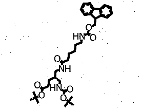 CC(C)(C)OC(=O)CCC(CNC(=O)CCCCCNC(=O)OCC1c2ccccc2-c2ccccc21)CNC(=O)OC(C)(C)C